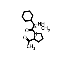 CN[C@H](C(=O)N1CCCC1C(C)=O)C1CCCCC1